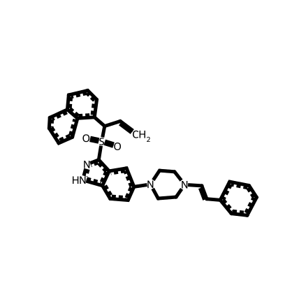 C=CC(c1cccc2ccccc12)S(=O)(=O)c1n[nH]c2ccc(N3CCN(C=Cc4ccccc4)CC3)cc12